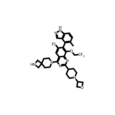 CCc1cc2c(N3CCC4(CC3)CNC4)nc(C3CCN(C4COC4)CC3)nc2c(OCC(F)(F)F)c1-c1c(C)ccc2[nH]ncc12